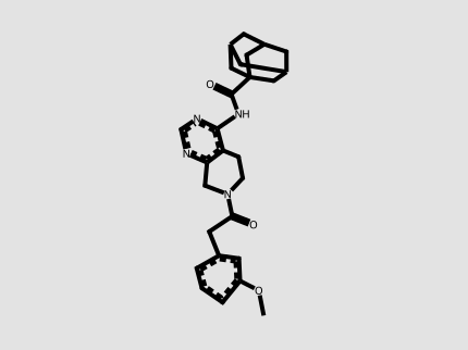 COc1cccc(CC(=O)N2CCc3c(ncnc3NC(=O)C34CC5CC(CC(C5)C3)C4)C2)c1